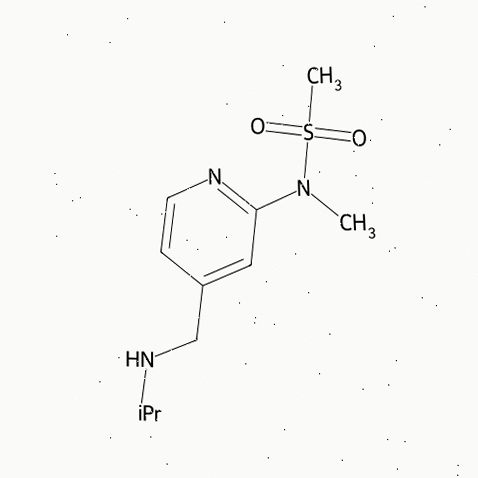 CC(C)NCc1ccnc(N(C)S(C)(=O)=O)c1